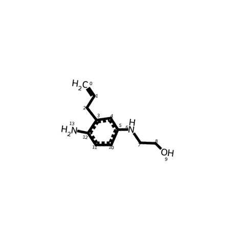 C=CCc1cc(NCCO)ccc1N